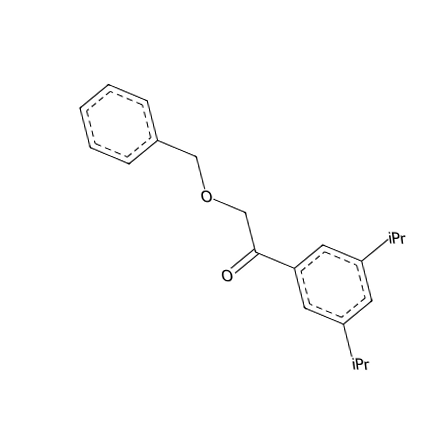 CC(C)c1cc(C(=O)COCc2ccccc2)cc(C(C)C)c1